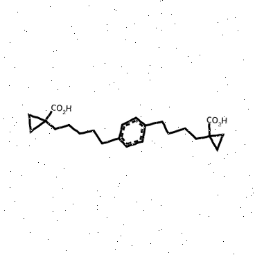 O=C(O)C1(CCCCCc2ccc(CCCCC3(C(=O)O)CC3)cc2)CC1